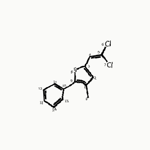 Cc1cc(C=C(Cl)Cl)sc1-c1ccccc1